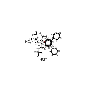 CC(C)(C)CC1=Cc2c(-c3ccccc3)cccc2[CH]1[Zr]([CH3])([CH3])(=[SiH2])[CH]1C(CC(C)(C)C)=Cc2c(-c3ccccc3)cccc21.Cl.Cl